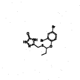 CCC(Oc1ccc(Br)cc1Br)SCc1n[nH]c(=O)[nH]1